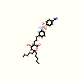 CCCCCC1(CCCCC)CC(O)=C(CCCc2cccc(NS(=O)(=O)c3ccc(C#N)cc3)c2)C(=O)O1